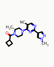 C[C@@H]1CN(c2nc(-c3cnn(C)c3)ncc2C#N)CCN1C(=O)C1CCC1